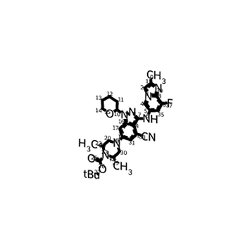 Cc1cn2cc(Nc3nn(C4CCCCO4)c4cc(N5C[C@@H](C)N(C(=O)OC(C)(C)C)[C@@H](C)C5)cc(C#N)c34)cc(F)c2n1